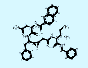 CC[C@H](C)[C@H](NC(=O)CC1OC1C(Cc1ccccc1)NC(=O)[C@@H](CC(N)=O)NC(=O)c1ccc2ccccc2n1)C(=O)NCc1ccccc1